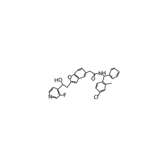 Cc1cc(Cl)ccc1C(NC(=O)Cc1ccc2oc(CC(O)c3ccncc3F)cc2c1)c1ccccc1